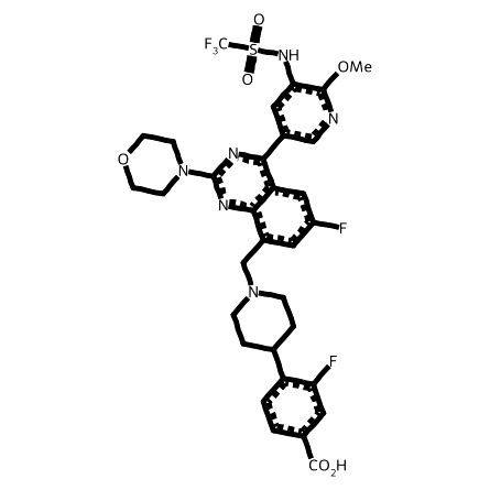 COc1ncc(-c2nc(N3CCOCC3)nc3c(CN4CCC(c5ccc(C(=O)O)cc5F)CC4)cc(F)cc23)cc1NS(=O)(=O)C(F)(F)F